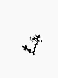 C=C(CCCCCN1C(=O)CC(C(C)(C)C)C1=O)N1CC(C(C)(C)C)C1